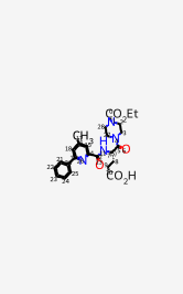 CCOC(=O)N1CCN(C(=O)[C@H](CCC(=O)O)NC(=O)c2cc(C)cc(-c3ccccc3)n2)CC1